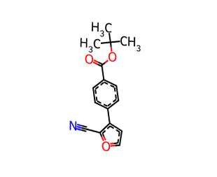 CC(C)(C)OC(=O)c1ccc(-c2ccoc2C#N)cc1